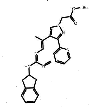 C=N/C(=N\C=C(/C)c1cn(CC(=O)OC(C)(C)C)nc1-c1ccccn1)NC1Cc2ccccc2C1